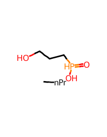 CCCC.O=[PH](O)CCCO